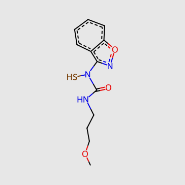 COCCCNC(=O)N(S)c1noc2ccccc12